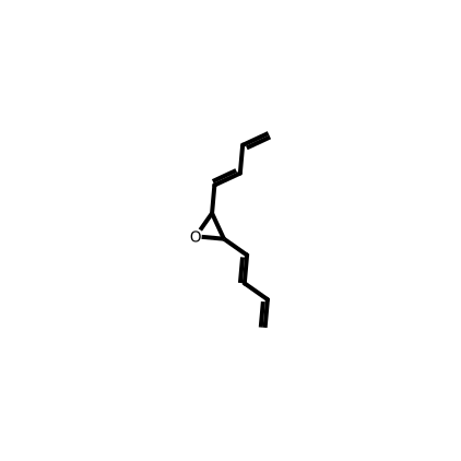 C=CC=CC1OC1C=CC=C